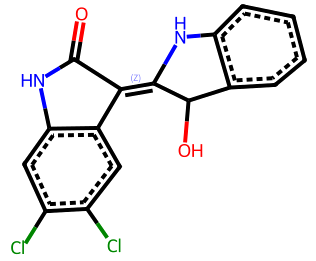 O=C1Nc2cc(Cl)c(Cl)cc2/C1=C1/Nc2ccccc2C1O